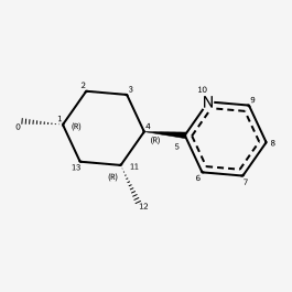 C[C@@H]1CC[C@@H](c2ccccn2)[C@H](C)C1